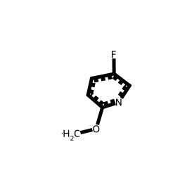 [CH2]Oc1ccc(F)cn1